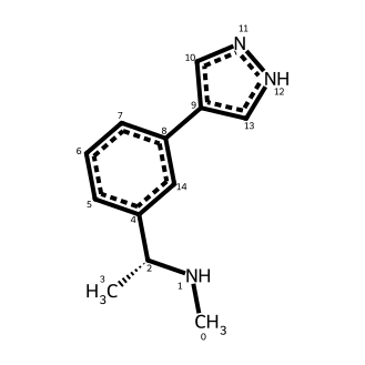 CN[C@H](C)c1cccc(-c2cn[nH]c2)c1